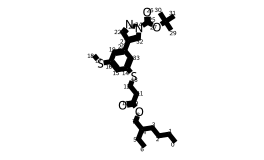 CCCCC(CC)COC(=O)CCSc1cc(SC)cc(-c2cnn(C(=O)OC(C)(C)C)c2)c1